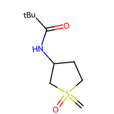 C=S1(=O)CCC(NC(=O)C(C)(C)C)C1